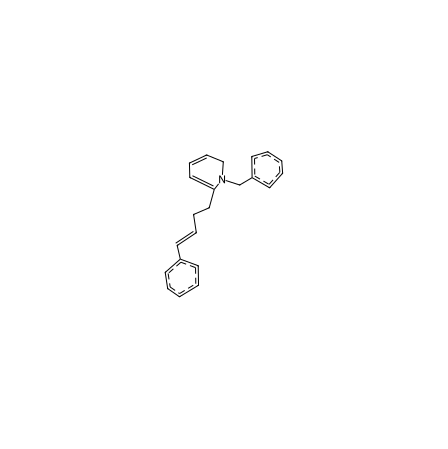 C1=CCN(Cc2ccccc2)C(CC/C=C/c2ccccc2)=C1